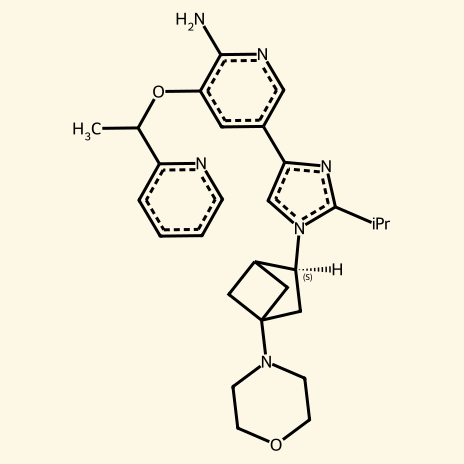 CC(C)c1nc(-c2cnc(N)c(OC(C)c3ccccn3)c2)cn1[C@H]1CC2(N3CCOCC3)CC1C2